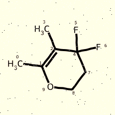 CC1=C(C)C(F)(F)CCO1